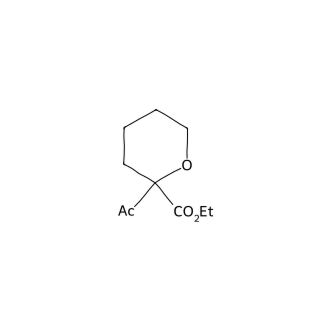 CCOC(=O)C1(C(C)=O)CCCCO1